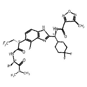 Cc1nonc1C(=O)N[C@H](c1nc2c(F)c([C@@H](CC(F)(F)F)C(=O)N[C@@H](C(=O)N(C)C)C(C)C)ccc2[nH]1)C1CCC(F)(F)CC1